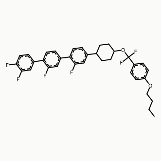 CCCCOc1ccc(C(F)(F)OC2CCC(c3ccc(-c4ccc(-c5ccc(F)c(F)c5)c(F)c4)c(F)c3)CC2)cc1